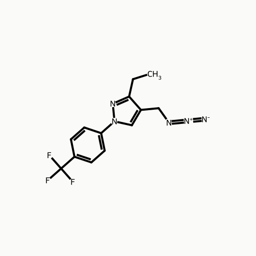 CCc1nn(-c2ccc(C(F)(F)F)cc2)cc1CN=[N+]=[N-]